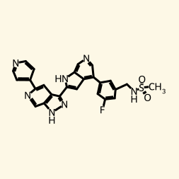 CS(=O)(=O)NCc1cc(F)cc(-c2cncc3[nH]c(-c4n[nH]c5cnc(-c6ccncc6)cc45)cc23)c1